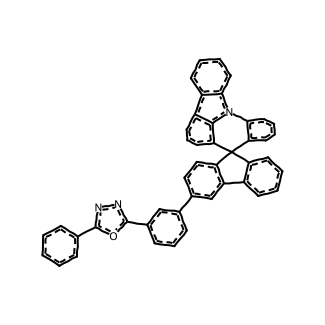 c1ccc(-c2nnc(-c3cccc(-c4ccc5c(c4)-c4ccccc4C54c5ccccc5-n5c6ccccc6c6cccc4c65)c3)o2)cc1